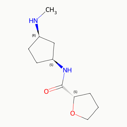 CN[C@@H]1CC[C@H](NC(=O)[C@@H]2CCCO2)C1